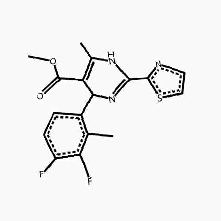 COC(=O)C1=C(C)NC(c2nccs2)=NC1c1ccc(F)c(F)c1C